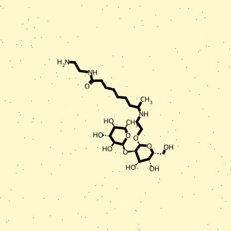 CC(CCCCCCC(=O)NCCN)NCCO[C@@H]1O[C@H](CO)[C@H](O)[C@H](O)[C@H]1O[C@@H]1O[C@@H](C)[C@@H](O)[C@@H](O)[C@@H]1O